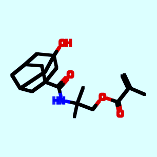 C=C(C)C(=O)OCC(C)(C)NC(=O)C12CC3CC(CC(O)(C3)C1)C2